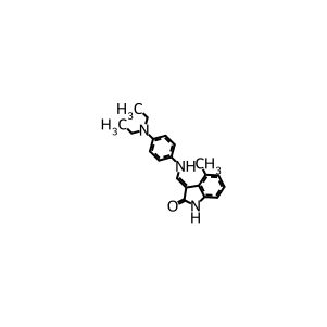 CCN(CC)c1ccc(N/C=C2/C(=O)Nc3cccc(C)c32)cc1